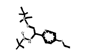 CCSc1ccc(C(CO[Si](C)(C)C(C)(C)C)N[S@+]([O-])C(C)(C)C)nc1